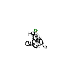 CC1=CC2=C(C=CC=CC2c2ccccc2)[CH]1[Ti+2]([CH]1C(c2ccccc2)=CC2=C1C=CC=CC2c1ccccc1)=[Si](C)C.[Cl-].[Cl-]